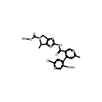 COc1cnc(Cl)cc1-c1cc(C)ncc1C(=O)Nc1nc2c(s1)CN(C(=O)OC(C)(C)C)C2C